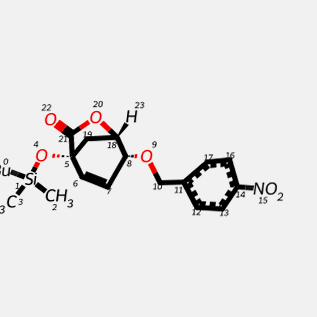 CC(C)(C)[Si](C)(C)O[C@@]12C=C[C@@H](OCc3ccc([N+](=O)[O-])cc3)[C@H](C1)OC2=O